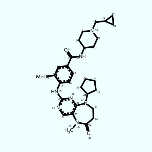 COc1cc(C(=O)NC2CCN(CC3CC3)CC2)ccc1Nc1ncc2c(n1)N(C1CCCC1)CCC(=O)N2C